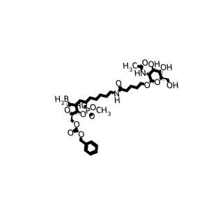 B[C@@H]1O[C@H](COC(=O)OCc2ccccc2)[C@H](OP(=O)(O)OC)C1CCCCCCCNC(=O)CCCCO[C@@H]1O[C@H](CO)[C@H](O)[C@H](O)[C@H]1NC(C)=O